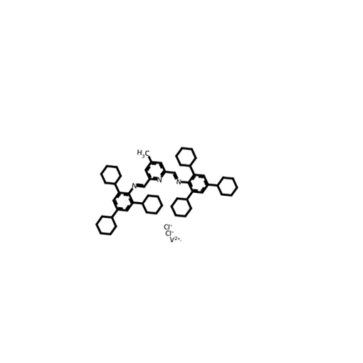 Cc1cc(C=Nc2c(C3CCCCC3)cc(C3CCCCC3)cc2C2CCCCC2)nc(C=Nc2c(C3CCCCC3)cc(C3CCCCC3)cc2C2CCCCC2)c1.[Cl-].[Cl-].[V+2]